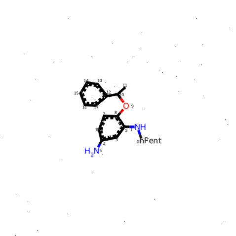 CCCCCNc1cc(N)ccc1OC(C)c1ccccc1